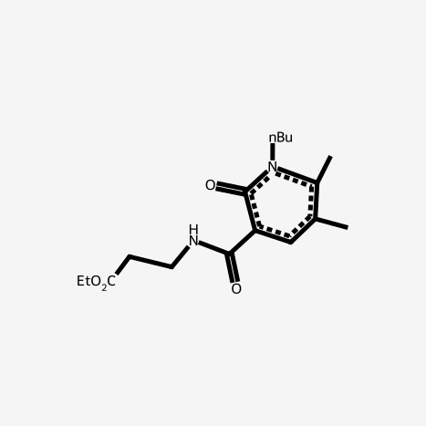 CCCCn1c(C)c(C)cc(C(=O)NCCC(=O)OCC)c1=O